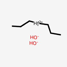 CC[CH2][Hf+2][CH2]CC.[OH-].[OH-]